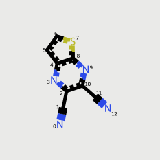 N#Cc1nc2ccsc2nc1C#N